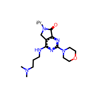 CC(C)N1Cc2c(NCCCN(C)C)nc(N3CCOCC3)nc2C1=O